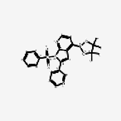 CC1(C)OB(c2ccnc3c2cc(-c2cccnc2)n3S(=O)(=O)c2ccccc2)OC1(C)C